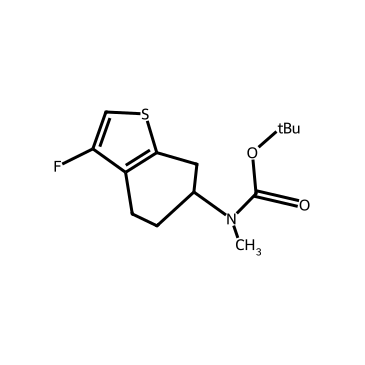 CN(C(=O)OC(C)(C)C)C1CCc2c(F)csc2C1